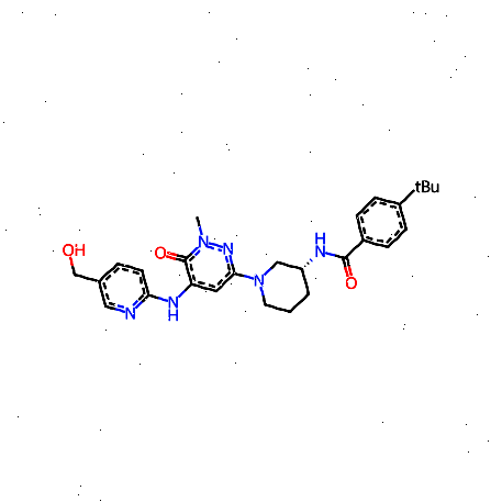 Cn1nc(N2CCC[C@@H](NC(=O)c3ccc(C(C)(C)C)cc3)C2)cc(Nc2ccc(CO)cn2)c1=O